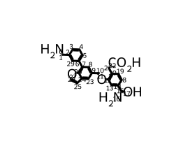 NCc1cccc(-c2cc(COc3cc(C(N)O)ccc3CC(=O)O)cc3ccoc23)c1